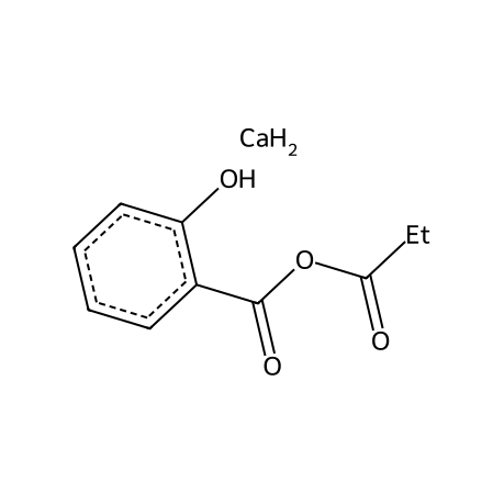 CCC(=O)OC(=O)c1ccccc1O.[CaH2]